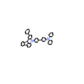 CC12c3ccccc3-c3cccc(c31)N(c1ccc(-c3ccc(N(c4ccccc4)c4ccccc4)cc3)cc1)c1ccc(-c3ccccc3)cc12